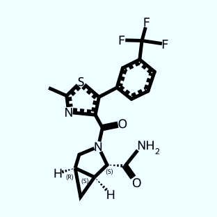 Cc1nc(C(=O)N2C[C@@H]3C[C@@H]3[C@H]2C(N)=O)c(-c2cccc(C(F)(F)F)c2)s1